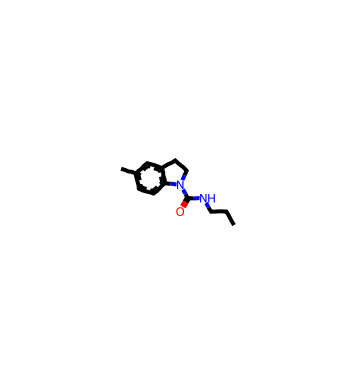 CCCNC(=O)N1CCc2cc(C)ccc21